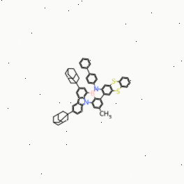 Cc1cc2c3c(c1)-n1c4ccc(C56CC7CC(CC(C7)C5)C6)cc4c4cc(C56CC7CC(CC(C7)C5)C6)cc(c41)B3N(c1ccc(-c3ccccc3)cc1)c1cc3c(cc1-2)Sc1ccccc1S3